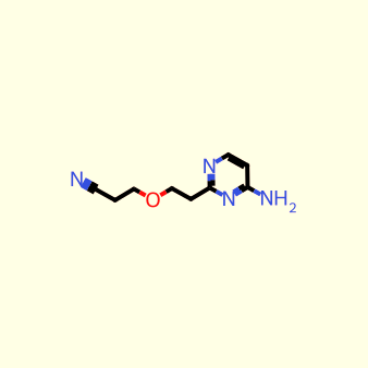 N#CCCOCCc1nccc(N)n1